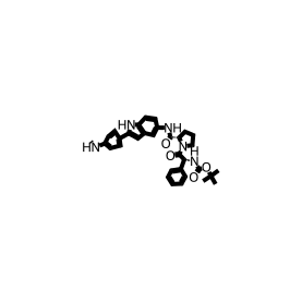 CNc1ccc(-c2cc3cc(NC(=O)[C@@H]4CCCN4C(=O)[C@H](NC(=O)OC(C)(C)C)c4ccccc4)ccc3[nH]2)cc1